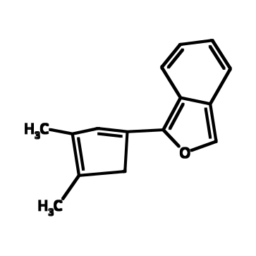 CC1=C(C)CC(c2occ3ccccc23)=C1